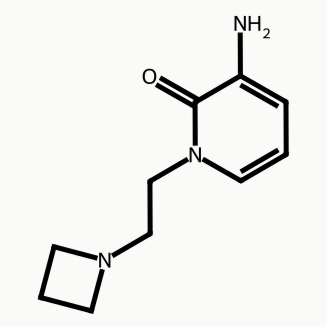 Nc1cccn(CCN2CCC2)c1=O